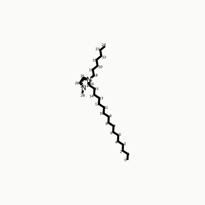 CCCCCCCCCCCCCCCCc1n(CCCCCCC)cc[n+]1C